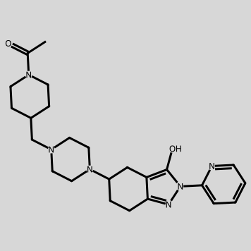 CC(=O)N1CCC(CN2CCN(C3CCc4nn(-c5ccccn5)c(O)c4C3)CC2)CC1